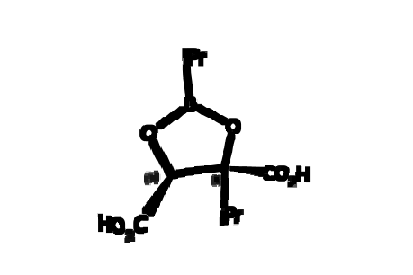 CC(C)B1O[C@H](C(=O)O)[C@](C(=O)O)(C(C)C)O1